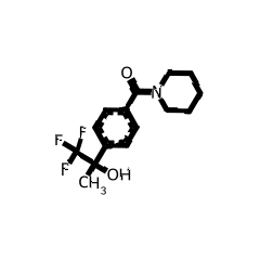 CC(O)(c1ccc(C(=O)N2CCCCC2)cc1)C(F)(F)F